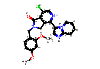 COc1ccc(CN2Cc3c(-c4cnc5ccccn45)ncc(Cl)c3C2=O)c(OC)c1